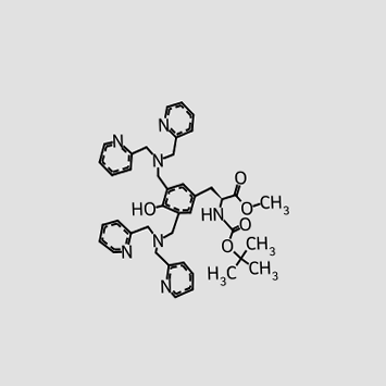 COC(=O)[C@H](Cc1cc(CN(Cc2ccccn2)Cc2ccccn2)c(O)c(CN(Cc2ccccn2)Cc2ccccn2)c1)NC(=O)OC(C)(C)C